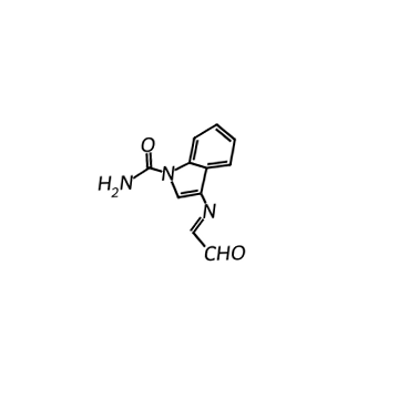 NC(=O)n1cc(N=CC=O)c2ccccc21